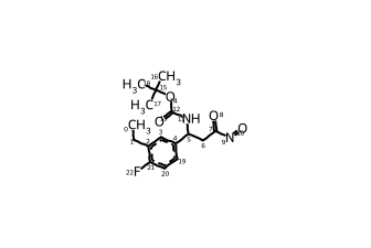 CCc1cc(C(CC(=O)N=O)NC(=O)OC(C)(C)C)ccc1F